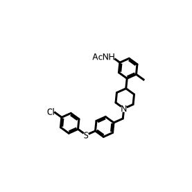 CC(=O)Nc1ccc(C)c(C2CCN(Cc3ccc(Sc4ccc(Cl)cc4)cc3)CC2)c1